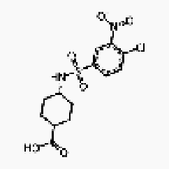 O=C(O)[C@H]1CC[C@H](NS(=O)(=O)c2ccc(Cl)c([N+](=O)[O-])c2)CC1